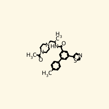 CC(=O)N1CCN(C[C@@H](C)NC(=O)c2cc(-c3ccc(C)cc3)cc(-c3cncs3)c2)CC1